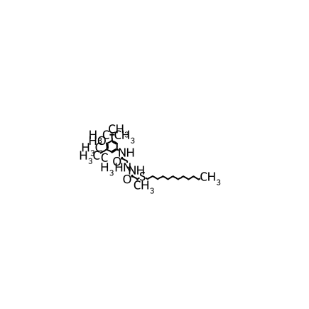 CCCCCCCCCCCCSC(C)C(=O)NNCC(=O)Nc1cc(C(C)(C)C)c(O)c(C(C)(C)C)c1